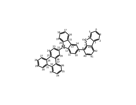 c1ccc2c(c1)sc1c(-c3ccc4c(c3)c3ccccc3n4-c3ccc4c5ccccc5c5ccccc5c4c3)cccc12